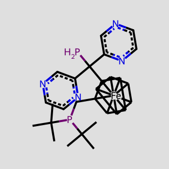 CC(C)(C)P(C[C]12[CH]3[CH]4[CH]5[C]1(C(P)(c1cnccn1)c1cnccn1)[Fe]43521678[CH]2[CH]1[CH]6[CH]7[CH]28)C(C)(C)C